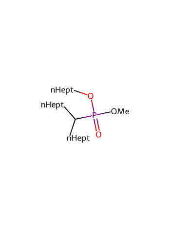 CCCCCCCOP(=O)(OC)C(CCCCCCC)CCCCCCC